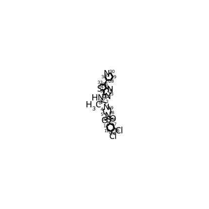 CC(CN1CCN(S(=O)(=O)c2ccc(Cl)c(Cl)c2)CC1)Nc1ncnc2c(-c3cccnc3)csc12